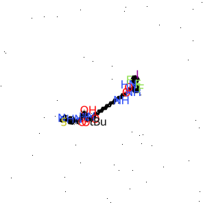 Cc1ncsc1-c1ccc([C@H](C)NC(=O)[C@H]2C[C@H](O)CN2C(=O)[C@@H](NC(=O)CCCCCCCCCCCNCCCCONC(=O)c2ccc(F)c(F)c2Nc2ccc(I)cc2F)C(C)(C)C)cc1